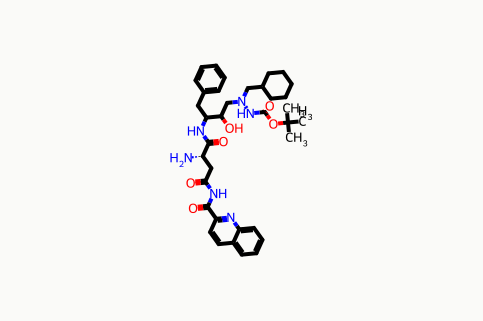 CC(C)(C)OC(=O)NN(CC1CCCCC1)CC(O)C(Cc1ccccc1)NC(=O)[C@@H](N)CC(=O)NC(=O)c1ccc2ccccc2n1